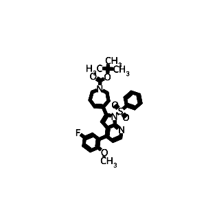 COc1ccc(F)cc1-c1ccnc2c1cc(C1=CCCN(C(=O)OC(C)(C)C)CC1)n2S(=O)(=O)c1ccccc1